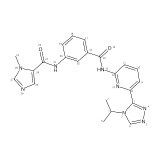 CC(C)n1cnnc1-c1cccc(NC(=O)c2cccc(NC(=O)c3cncn3C)c2)n1